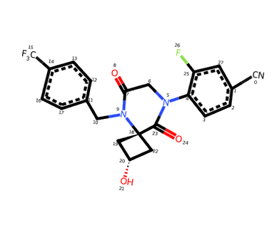 N#Cc1ccc(N2CC(=O)N(Cc3ccc(C(F)(F)F)cc3)[C@]3(C[C@@H](O)C3)C2=O)c(F)c1